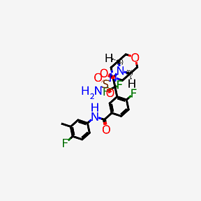 Cc1cc(NC(=O)c2ccc(F)c(C(F)(F)C(=O)N3[C@@H]4COC[C@H]3CN(S(N)(=O)=O)C4)c2)ccc1F